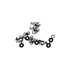 CN(C)CCC(CNc1ccccc1)Nc1ccc(S(=O)(=O)NC(=O)c2ccc3c(c2)cc2n3CCN(Cc3ccccc3-c3ccc(Cl)cc3)C2)cc1[N+](=O)[O-].O=C(O)C(F)(F)F.O=C(O)C(F)(F)F